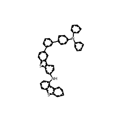 c1ccc(N(c2ccccc2)c2ccc(-c3cccc(-c4ccc5sc6cc(Nc7cccc8sc9ccccc9c78)ccc6c5c4)c3)cc2)cc1